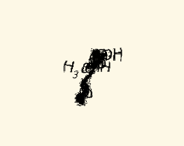 CCOC(=O)[C@H](CCCCCCC1CCN(C(=O)OCc2ccccc2)CC1)N[C@H]1COc2ccccc2N(CC(=O)O)C1=O